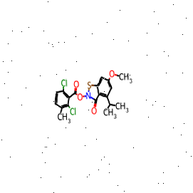 COc1cc(C(C)C)c2c(=O)n(OC(=O)c3c(Cl)ccc(C)c3Cl)sc2c1